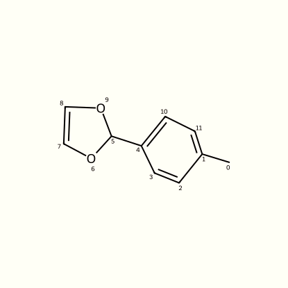 Cc1ccc(C2OC=CO2)cc1